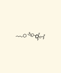 CCCCC[C@H]1CC[C@H](CC[Si]2(F)CCC(c3cc(F)c(OCC(F)F)c(F)c3)CC2)CC1